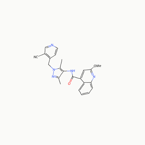 COc1cc(C(=O)Nc2c(C)nn(Cc3ccncc3C#N)c2C)c2ccccc2n1